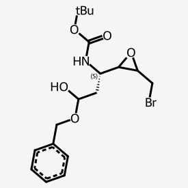 CC(C)(C)OC(=O)N[C@@H](CC(O)OCc1ccccc1)C1OC1CBr